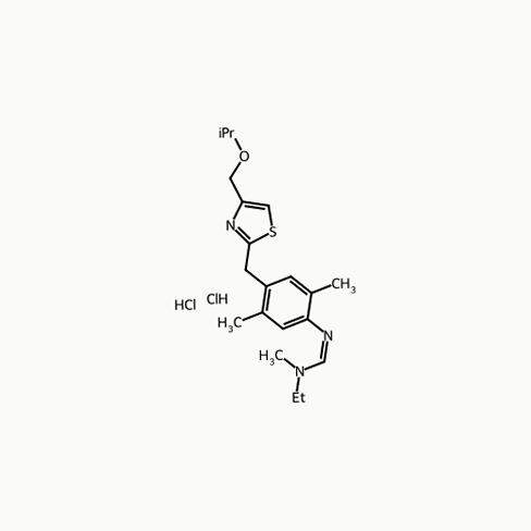 CCN(C)/C=N\c1cc(C)c(Cc2nc(COC(C)C)cs2)cc1C.Cl.Cl